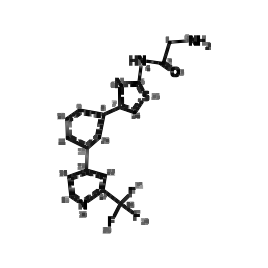 NCC(=O)Nc1nc(-c2cccc(-c3ccnc(C(F)(F)F)c3)c2)cs1